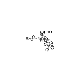 C=CC1=C(C(=O)OC(c2ccccc2)c2ccccc2)N2C(=O)C(NC(=O)C(=NOCCCC(=O)OC(C)(C)C)c3csc(NC=O)n3)[C@@H]2SC1